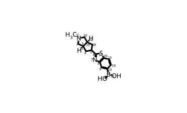 CN1C[C@H]2CC(c3nc4cc(B(O)O)ccc4s3)C[C@H]2C1